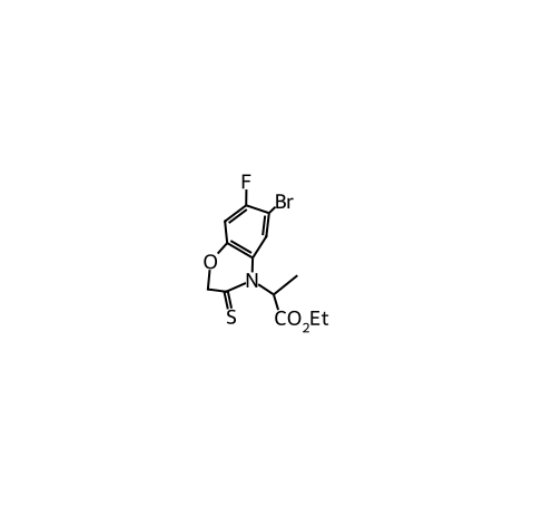 CCOC(=O)C(C)N1C(=S)COc2cc(F)c(Br)cc21